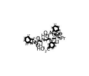 CC(C)N(CCN(C(=O)CNCC(=O)N(C)N1Cc2ccccc2C1)c1cc(C(=O)O)ccc1Cl)S(=O)(=O)c1ccccc1[N+](=O)[O-]